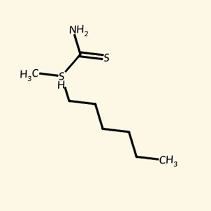 CCCCCC[SH](C)C(N)=S